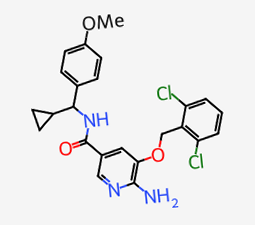 COc1ccc(C(NC(=O)c2cnc(N)c(OCc3c(Cl)cccc3Cl)c2)C2CC2)cc1